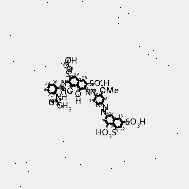 COc1cc(N=Nc2ccc3c(S(=O)(=O)O)cc(S(=O)(=O)O)cc3c2)ccc1N=Nc1c(S(=O)(=O)O)cc2cc(SOOO)c(N=Nc3ccccc3N[S+](C)[O-])c(O)c2c1O